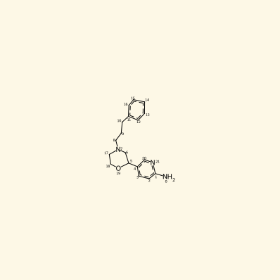 Nc1ccc(C2CN(CCCc3ccccc3)CCO2)cn1